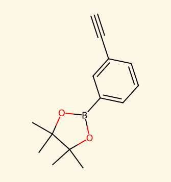 C#Cc1cccc(B2OC(C)(C)C(C)(C)O2)c1